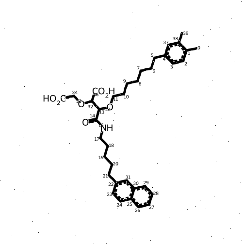 Cc1ccc(CCCCCCCOC(C(=O)NCCCCCc2ccc3ccccc3c2)C(OCC(=O)O)C(=O)O)cc1C